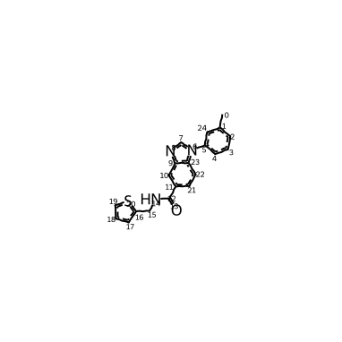 Cc1cccc(-n2cnc3cc(C(=O)NCc4cccs4)ccc32)c1